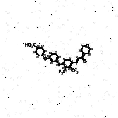 O=C(C=Cc1ccc(Sc2cccc(O[C@H]3CC[C@H](C(=O)O)CC3)c2)c(C(F)(F)F)c1C(F)(F)F)N1CCOCC1